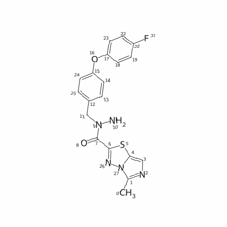 Cc1ncc2sc(C(=O)N(N)Cc3ccc(Oc4ccc(F)cc4)cc3)nn12